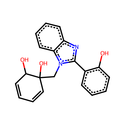 Oc1ccccc1-c1nc2ccccc2n1CC1(O)C=CC=CC1O